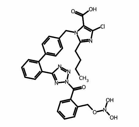 CCCCc1nc(Cl)c(C(=O)O)n1Cc1ccc(-c2ccccc2-c2nnn(C(=O)c3ccccc3CON(O)O)n2)cc1